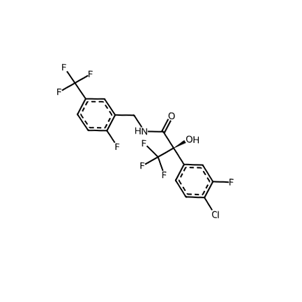 O=C(NCc1cc(C(F)(F)F)ccc1F)[C@](O)(c1ccc(Cl)c(F)c1)C(F)(F)F